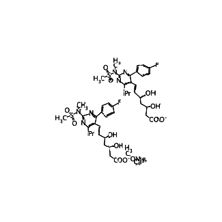 CC(C)c1nc(N(C)S(C)(=O)=O)nc(-c2ccc(F)cc2)c1C=C[C@@H](O)C[C@@H](O)CC(=O)[O-].CC(C)c1nc(N(C)S(C)(=O)=O)nc(-c2ccc(F)cc2)c1C=C[C@@H](O)C[C@@H](O)CC(=O)[O-].COC.[Ca+2]